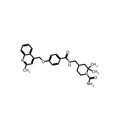 Cc1cc(COc2ccc(C(=O)NCC3CCN(C(N)=O)C(C)(C)C3)cc2)c2ccccc2n1